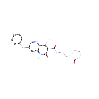 Cn1c(=O)c(C(=O)NCCN2CCNC2=O)c(O)c2ncc(Cc3ccc(F)cc3)cc21